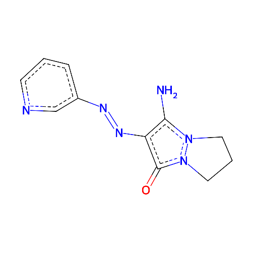 Nc1c(N=Nc2cccnc2)c(=O)n2n1CCC2